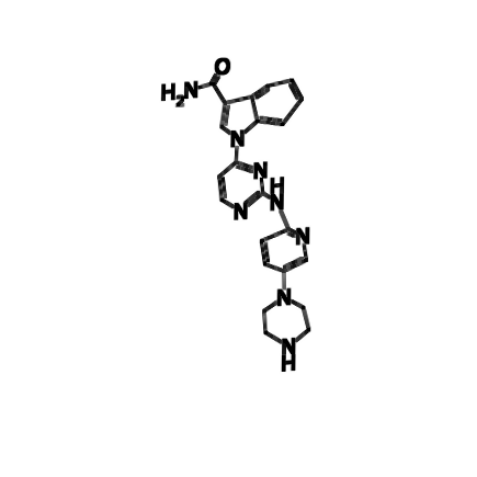 NC(=O)c1cn(-c2ccnc(Nc3ccc(N4CCNCC4)cn3)n2)c2ccccc12